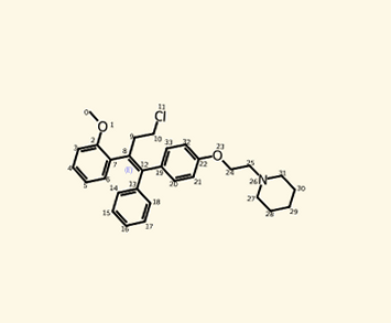 COc1ccccc1/C(CCCl)=C(\c1ccccc1)c1ccc(OCCN2CCCCC2)cc1